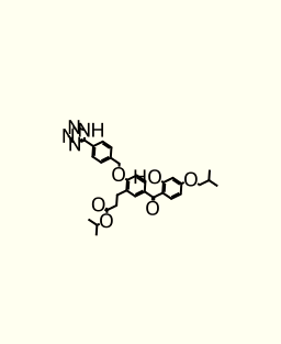 CC(C)COc1ccc(C(=O)c2ccc(OCc3ccc(-c4nnn[nH]4)cc3)c(CCC(=O)OC(C)C)c2)c(O)c1